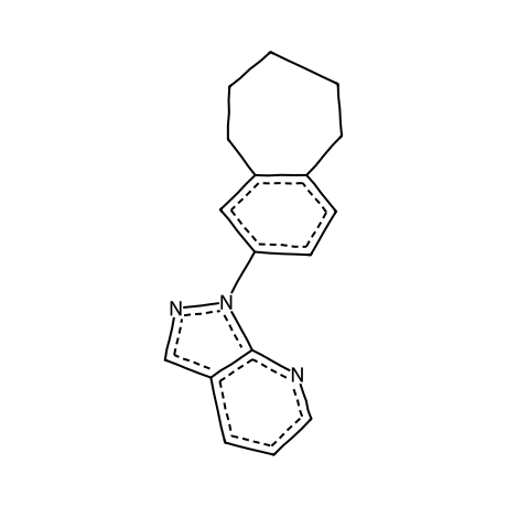 c1cnc2c(c1)cnn2-c1ccc2c(c1)CCCCC2